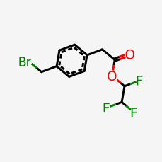 O=C(Cc1ccc(CBr)cc1)OC(F)C(F)F